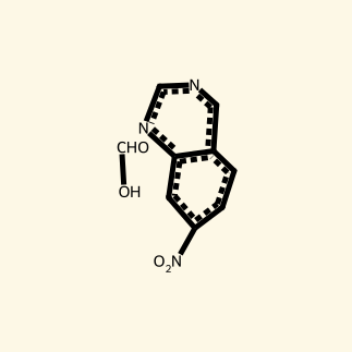 O=CO.O=[N+]([O-])c1ccc2cncnc2c1